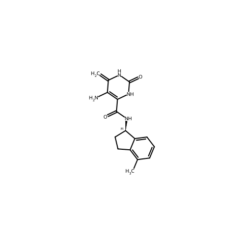 C=C1NC(=O)NC(C(=O)N[C@@H]2CCc3c(C)cccc32)=C1N